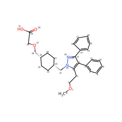 COCCc1c(-c2ccccc2)c(-c2ccccc2)nn1C[C@H]1CC[C@@H](COCC(=O)O)CC1